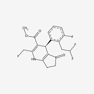 COC(=O)C1=C(CF)NC2=C(C(=O)CC2)[C@@H]1c1cccc(F)c1CC(F)F